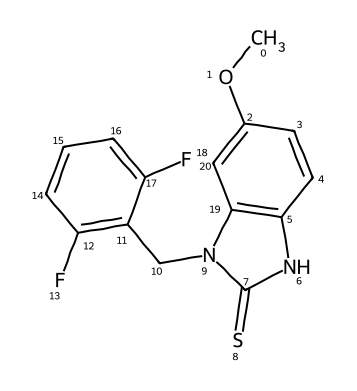 COc1ccc2[nH]c(=S)n(Cc3c(F)cccc3F)c2c1